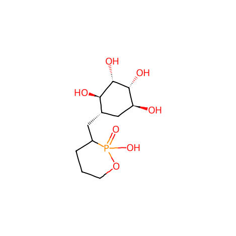 O=P1(O)OCCCC1C[C@H]1C[C@H](O)[C@@H](O)[C@@H](O)[C@@H]1O